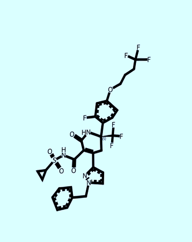 O=C1N[C@@](c2ccc(OCCCC(F)(F)F)cc2F)(C(F)(F)F)CC(c2ccn(Cc3ccccc3)n2)=C1C(=O)NS(=O)(=O)C1CC1